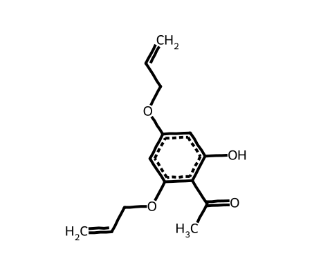 C=CCOc1cc(O)c(C(C)=O)c(OCC=C)c1